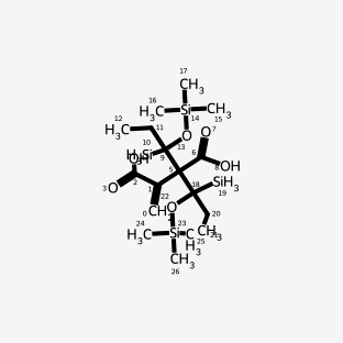 C=C(C(=O)O)C(C(=O)O)(C([SiH3])(CC)O[Si](C)(C)C)C([SiH3])(CC)O[Si](C)(C)C